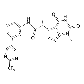 CC(C(=O)Nc1cncc(-c2cnc(C(F)(F)F)nc2)n1)n1cnc2c1c(=O)[nH]c(=O)n2C